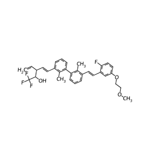 C=CC(/C=C/c1cccc(-c2cccc(/C=C/c3cc(OCCOC)ccc3F)c2C)c1C)C(O)C(F)(F)F